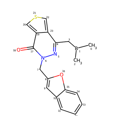 CB(C)Cc1nn(Cc2cc3ccccc3o2)c(=O)c2cscc12